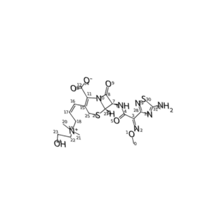 CO/N=C(\C(=O)N[C@@H]1C(=O)N2C(C(=O)[O-])=C(/C=C\C[N+](C)(C)CCO)CS[C@@H]12)c1nsc(N)n1